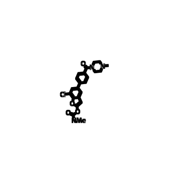 CNC(=O)Oc1cc2cc(-c3ccc(C(=O)N4CCN(C)CC4)cc3)cc(Cl)c2o1